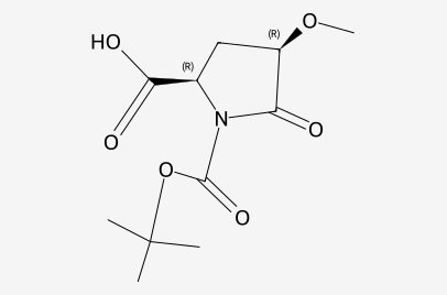 CO[C@@H]1C[C@H](C(=O)O)N(C(=O)OC(C)(C)C)C1=O